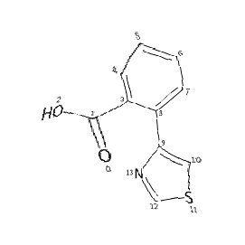 O=C(O)c1ccccc1-c1cscn1